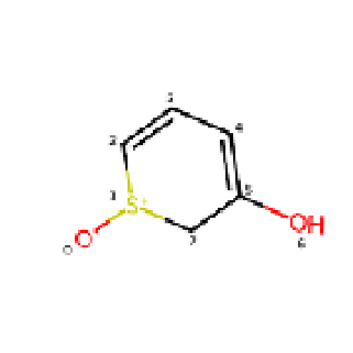 [O-][S+]1C=CC=C(O)C1